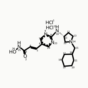 Cl.Cl.O=C(C=Cc1cnc(N[C@@H]2CCN(CC3CCCCC3)C2)nc1)NO